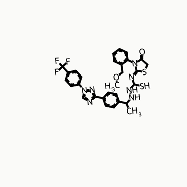 COCc1ccccc1N1C(=O)CS/C1=N\C(S)NNC(C)c1ccc(-c2ncn(-c3ccc(C(F)(F)F)cc3)n2)cc1